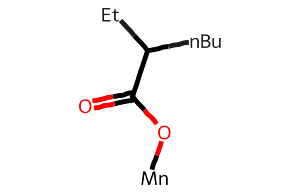 CCCCC(CC)C(=O)[O][Mn]